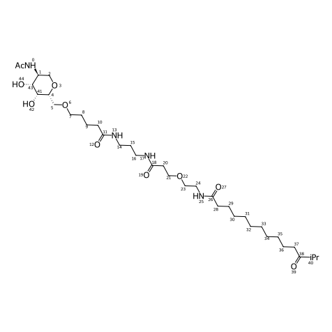 CC(=O)N[C@H]1CO[C@H](COCCCCC(=O)NCCCNC(=O)CCOCCNC(=O)CCCCCCCCCCC(=O)C(C)C)[C@H](O)[C@@H]1O